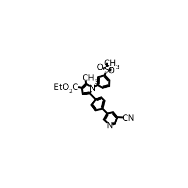 CCOC(=O)c1cc(-c2ccc(-c3cncc(C#N)c3)cc2)n(-c2cccc(S(C)(=O)=O)c2)c1C